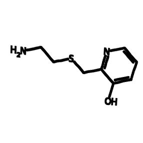 NCCSCc1ncccc1O